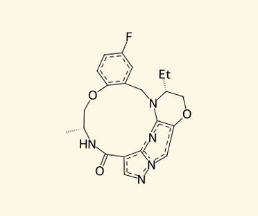 CC[C@@H]1COc2cn3ncc4c3nc2N1Cc1cc(F)ccc1OC[C@@H](C)NC4=O